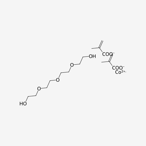 C=C(C)C(=O)[O-].C=C(C)C(=O)[O-].OCCOCCOCCOCCO.[Co+2]